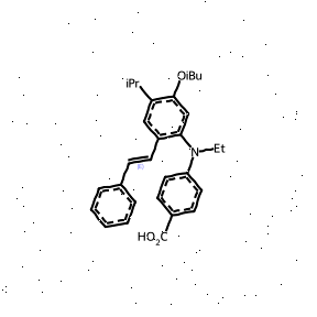 CCN(c1ccc(C(=O)O)cc1)c1cc(OCC(C)C)c(C(C)C)cc1/C=C/c1ccccc1